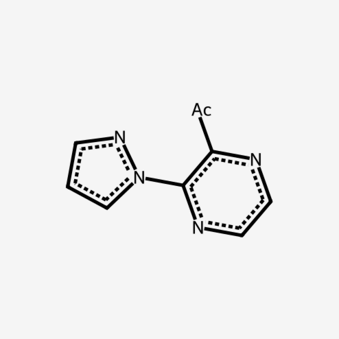 CC(=O)c1nccnc1-n1cccn1